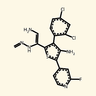 C=NN/C(=C\N)c1sc(-c2ccnc(F)c2)c(N)c1-c1ccc(Cl)cc1Cl